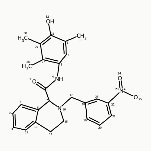 Cc1cc(NC(=O)C2c3ccccc3CCN2Cc2cccc([N+](=O)[O-])c2)c(C)c(C)c1O